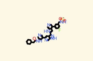 CS(=O)(=O)NCc1cc(F)cc(-c2cncc3[nH]c(-c4n[nH]c5cnc(-c6cncc(NC(=O)CC7CCCCC7)c6)cc45)cc23)c1